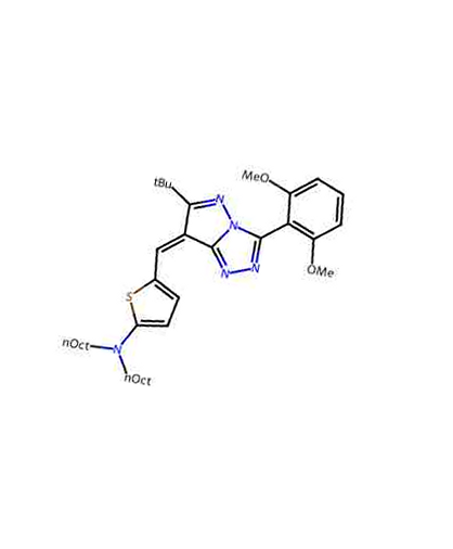 CCCCCCCCN(CCCCCCCC)c1ccc(/C=c2/c(C(C)(C)C)nn3c(-c4c(OC)cccc4OC)nnc23)s1